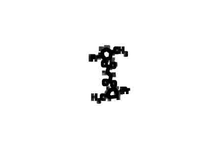 CC(C)[C@@H]1CC[C@@H](C)C[C@@H]1OC(=O)CCC(=O)O[C@H]1C[C@H](C)CC[C@H]1C(C)C